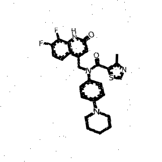 Cc1ncsc1C(=O)N(Cc1cc(=O)[nH]c2c(F)c(F)ccc12)c1ccc(N2CCCCC2)cc1